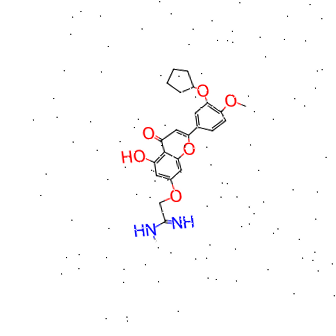 CNC(=N)COc1cc(O)c2c(=O)cc(-c3ccc(OC)c(OC4CCCC4)c3)oc2c1